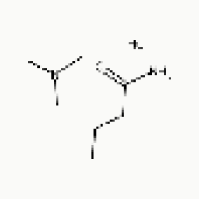 CCCC(N)=O.CN(C)C.Cl